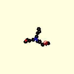 c1cc(-c2ccc3cc(N(c4ccc(-c5ccc6c(ccc7ccccc76)c5)cc4)c4ccc(-c5ccc6c(ccc7ccccc76)c5)cc4)ccc3c2)cc(-c2cc3ccccc3o2)c1